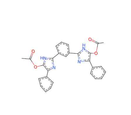 CC(=O)Oc1[nH]c(-c2cccc(-c3nc(-c4ccccc4)c(OC(C)=O)[nH]3)c2)nc1-c1ccccc1